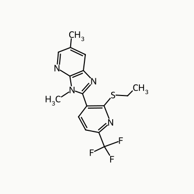 CCSc1nc(C(F)(F)F)ccc1-c1nc2cc(C)cnc2n1C